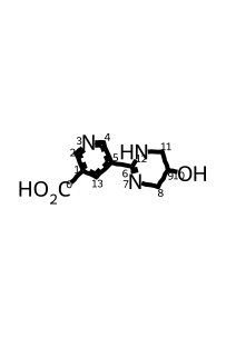 O=C(O)c1cncc(C2=NCC(O)CN2)c1